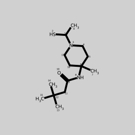 CC(S)N1CCC(C)(NC(=O)CC(C)(C)C)CC1